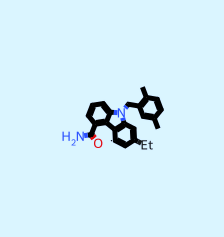 CCc1c[c]c2c3c(C(N)=O)cccc3n(Cc3cc(C)ccc3C)c2c1